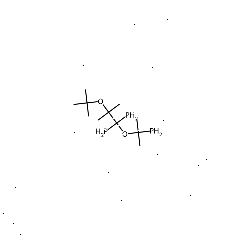 CC(C)(C)OC(C)(C)C(P)(P)OC(C)(C)P